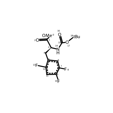 COC(=O)[C@H](Cc1cc(F)c(F)cc1F)NC(=O)OC(C)(C)C